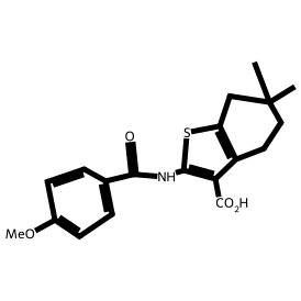 COc1ccc(C(=O)Nc2sc3c(c2C(=O)O)CCC(C)(C)C3)cc1